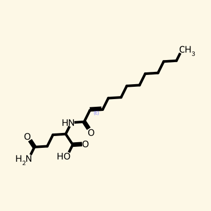 CCCCCCCCC/C=C/C(=O)NC(CCC(N)=O)C(=O)O